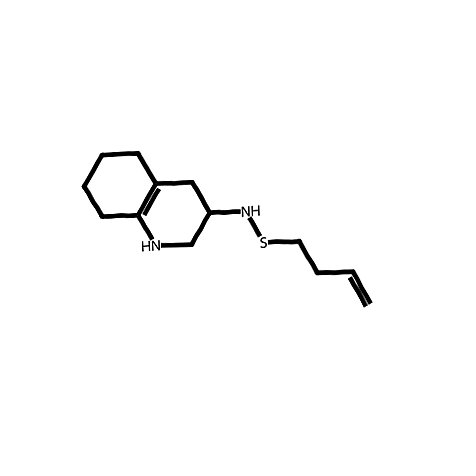 C=CCCSNC1CNC2=C(CCCC2)C1